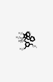 CCc1cc(CC)cc([SiH2]C2(CC3(C4CCCCC4)C=CC=CC3)C(C)=C(C)C(C)=[C]2[Ti]([CH3])[CH3])c1